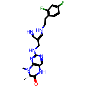 C[C@H]1C(=O)Nc2cnc(NC/C(C=N)=C/NCCc3ccc(F)cc3F)nc2N1C